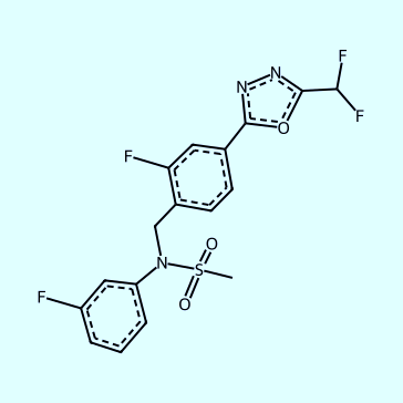 CS(=O)(=O)N(Cc1ccc(-c2nnc(C(F)F)o2)cc1F)c1cccc(F)c1